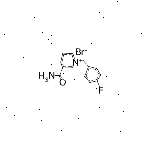 NC(=O)c1ccc[n+](Cc2ccc(F)cc2)c1.[Br-]